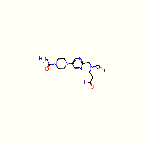 CN(CCC(=O)I)Cc1ncc(N2CCN(C(N)=O)CC2)cn1